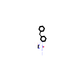 O=C1CNC(=O)N1c1cccc(Cc2ccccc2)c1